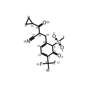 CS(=O)(=O)C1C(=O)C(C(F)(F)F)=CC=C1CC(C#N)C(=O)C1CC1